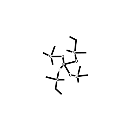 CC[Si](C)(C)O[Si](O[Si](C)(C)C)(O[Si](C)(C)C)O[Si](C)(C)CC